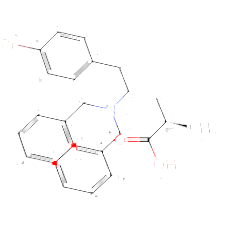 C[C@H](C[C@@H](Cc1ccc(Br)cc1)N(Cc1ccccc1)Cc1ccccc1)C(=O)O